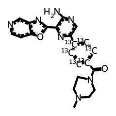 CN1CCN(C(=O)[13c]2[13cH][13cH][13c](-c3cnc(N)c(-c4nc5cnccc5o4)n3)[13cH][13cH]2)CC1